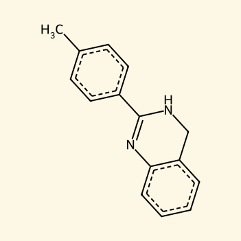 Cc1ccc(C2=Nc3ccccc3CN2)cc1